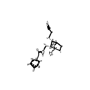 N#CCC[C@@H]1C2CC[C@@H](O2)[C@@H]1COCc1ccccc1